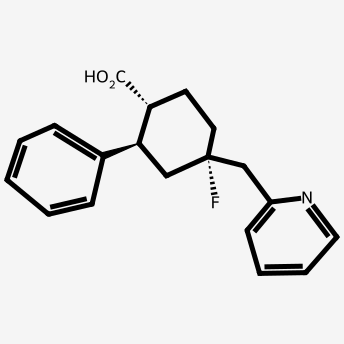 O=C(O)[C@@H]1CC[C@@](F)(Cc2ccccn2)C[C@H]1c1ccccc1